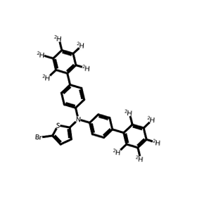 [2H]c1c([2H])c([2H])c(-c2ccc(N(c3ccc(-c4c([2H])c([2H])c([2H])c([2H])c4[2H])cc3)c3ccc(Br)s3)cc2)c([2H])c1[2H]